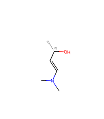 C[C@H](O)C=CN(C)C